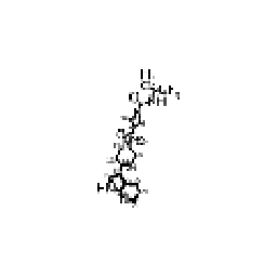 CC(NC(=O)N1CC(S(=O)(=O)N2CCC(c3c[nH]c4ncccc34)CC2)C1)C(F)(F)F